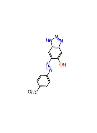 O=Cc1ccc(/N=N/c2cc3[nH]nnc3cc2O)cc1